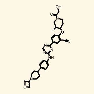 N#Cc1cc(-c2ncnc(Nc3ccc(C4CCN(C5COC5)CC4)cc3)n2)ccc1OC1CCN(C(=O)CO)CC1F